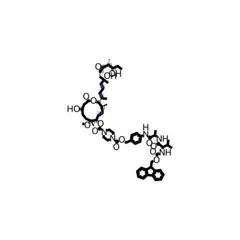 CC[C@H](O)[C@@H](C)[C@@H]1O[C@H]1CC(C)(O)/C=C/C=C(\C)[C@H]1OC(=O)C[C@H](O)CC[C@@](C)(OC)[C@@H](OC(=O)N2CCN(C(=O)OCc3ccc(NC(=O)C(C)NC(=O)C(NC(=O)OCC4c5ccccc5-c5ccccc54)C(C)C)cc3)CC2)/C=C/[C@@H]1C